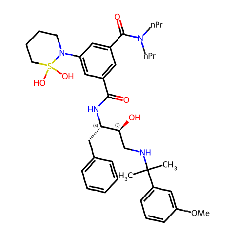 CCCN(CCC)C(=O)c1cc(C(=O)N[C@@H](Cc2ccccc2)[C@@H](O)CNC(C)(C)c2cccc(OC)c2)cc(N2CCCCS2(O)O)c1